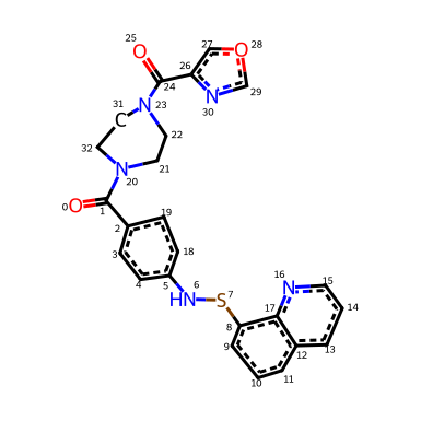 O=C(c1ccc(NSc2cccc3cccnc23)cc1)N1CCN(C(=O)c2cocn2)CC1